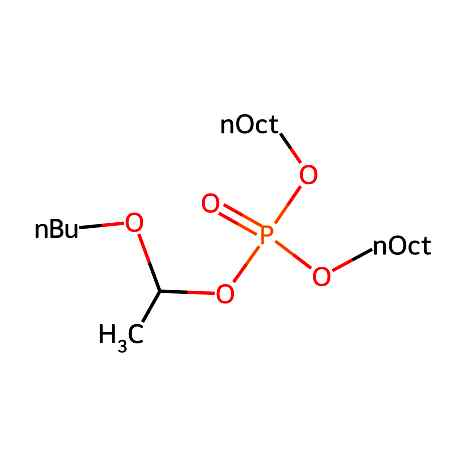 CCCCCCCCOP(=O)(OCCCCCCCC)OC(C)OCCCC